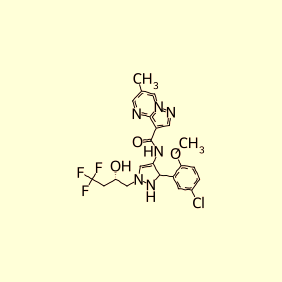 COc1ccc(Cl)cc1C1NN(C[C@@H](O)CC(F)(F)F)C=C1NC(=O)c1cnn2cc(C)cnc12